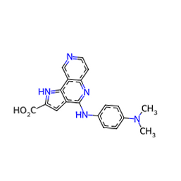 CN(C)c1ccc(Nc2nc3ccncc3c3[nH]c(C(=O)O)cc23)cc1